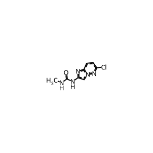 CNC(=O)Nc1cn2nc(Cl)ccc2n1